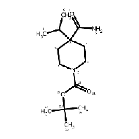 CC(C)C1(C(N)=O)CCN(C(=O)OC(C)(C)C)CC1